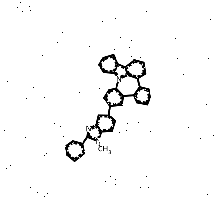 Cn1c(-c2ccccc2)nc2cc(-c3ccc4c(c3)-c3ccccc3-c3cccc5c6ccccc6n-4c35)ccc21